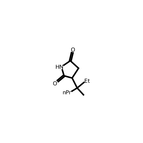 CCCC(C)(CC)C1CC(=O)NC1=O